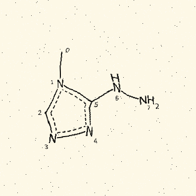 Cn1cnnc1NN